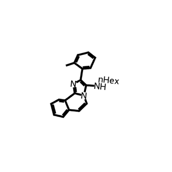 CCCCCCNc1c(-c2ccccc2C)nc2c3ccccc3ccn12